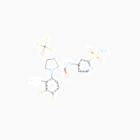 Cc1c(N2C[C@H](OC(F)(F)F)C[C@@H]2C(=O)Nc2ccnc(S(N)(=O)=O)c2)ccc(F)c1F